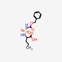 CCCC(NS(=O)(=O)NC(=O)OCc1ccccc1)C(=O)O